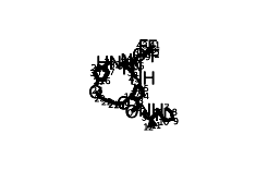 O=C(NCC1(CN2CCCC2)CC1)c1ccc2cc1OC/C=C/COc1ccc(cc1)CNc1nc(nc(OCC(F)(F)F)n1)N2